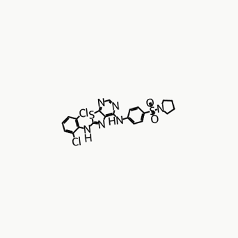 O=S(=O)(c1ccc(Nc2ncnc3sc(Nc4c(Cl)cccc4Cl)nc23)cc1)N1CCCC1